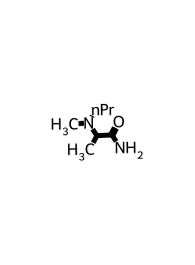 CCCN(C)C(C)C(N)=O